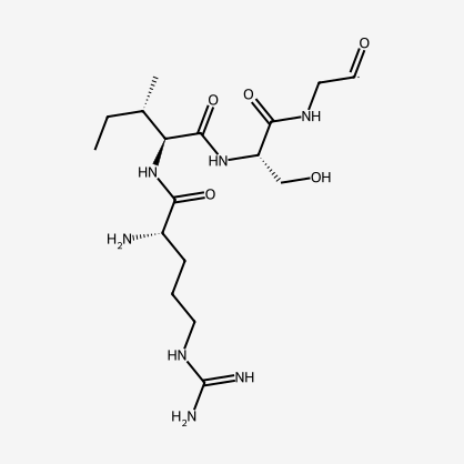 CC[C@H](C)[C@H](NC(=O)[C@@H](N)CCCNC(=N)N)C(=O)N[C@@H](CO)C(=O)NC[C]=O